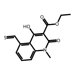 CCOC(=O)c1c(O)c2c(C=S)cccc2n(C)c1=O